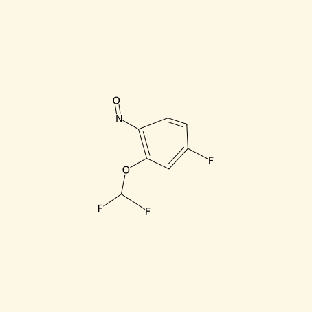 O=Nc1ccc(F)cc1OC(F)F